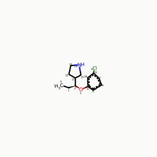 CC[C@H](Oc1cccc(Cl)c1)C1CCNC1